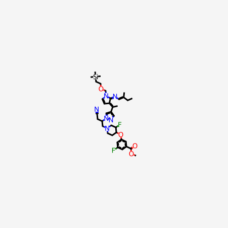 CC/C(C)=C/N=C1\C(=C(/C)c2cnn(C(CC#N)CN3CCC(Oc4cc(F)cc(C(=O)OC)c4)C(F)C3)c2)C=CN1COCC[Si](C)(C)C